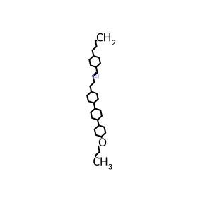 C=CCCC1CCC(/C=C/CCC2CCC(C3CCC(C4CCC(OCCCC)CC4)CC3)CC2)CC1